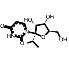 CC(C)[C@@]1(n2ccc(=O)[nH]c2=O)O[C@H](CO)[C@@H](O)[C@H]1O